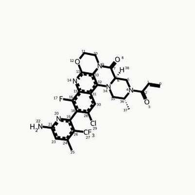 C=CC(=O)N1C[C@@H]2C(=O)N3CCOc4nc5c(F)c(-c6nc(N)cc(C)c6C(F)(F)F)c(Cl)cc5c(c43)N2C[C@H]1C